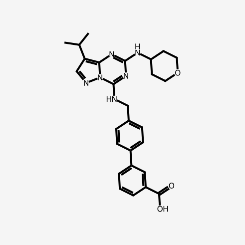 CC(C)c1cnn2c(NCc3ccc(-c4cccc(C(=O)O)c4)cc3)nc(NC3CCOCC3)nc12